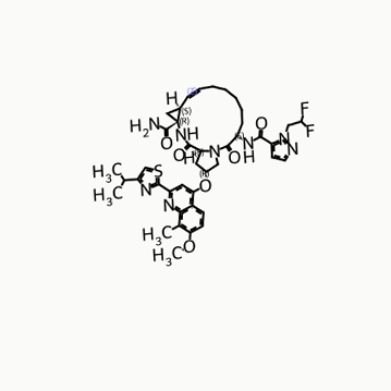 COc1ccc2c(O[C@@H]3C[C@H]4C(=O)N[C@]5(C(N)=O)C[C@H]5/C=C\CCCCC[C@H](NC(=O)c5ccnn5CC(F)F)C(=O)N4C3)cc(-c3nc(C(C)C)cs3)nc2c1C